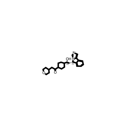 O=C(CC1CCOCC1)C1CCC([C@H](O)C[C@H]2c3ccccc3-c3cncn32)CC1